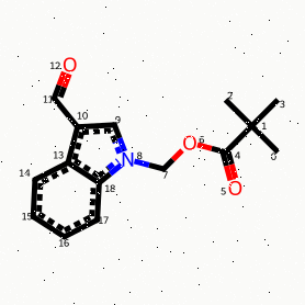 CC(C)(C)C(=O)OCn1cc(C=O)c2ccccc21